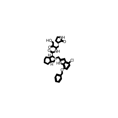 O=C(CO)C(C[C@@H]1CCNC1=O)NC(=O)[C@@H]1[C@H]2CCCC[C@H]2CN1Cc1cc2c(Cl)ccc(OCc3ccccc3)c2[nH]1